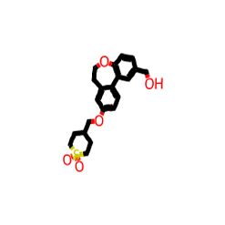 O=S1(=O)CCC(COc2ccc3c(c2)CCOc2ccc(CO)cc2-3)CC1